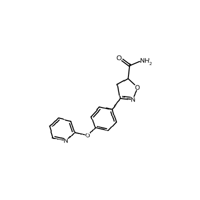 NC(=O)C1CC(c2ccc(Oc3ccccn3)cc2)=NO1